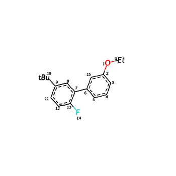 CCOc1cccc(-c2cc(C(C)(C)C)ccc2F)c1